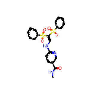 CNC(=O)c1ccc(NC=C(S(=O)(=O)c2ccccc2)S(=O)(=O)c2ccccc2)nc1